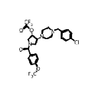 O=C(c1ccc(OC(F)(F)F)cc1)N1C[C@H](OC(=O)C(F)(F)F)[C@@H](N2CCN(Cc3ccc(Cl)cc3)CC2)C1